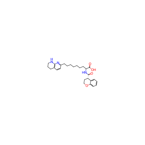 O=C(O)C(CCCCCCCc1ccc2c(n1)NCCC2)NC(=O)[C@H]1CCOc2ccccc21